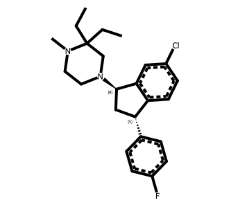 CCC1(CC)CN([C@@H]2C[C@@H](c3ccc(F)cc3)c3ccc(Cl)cc32)CCN1C